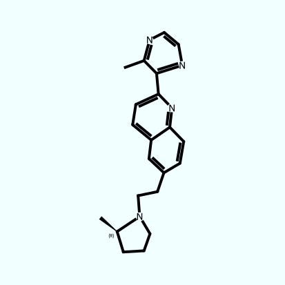 Cc1nccnc1-c1ccc2cc(CCN3CCC[C@H]3C)ccc2n1